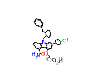 NC(=O)c1cccc2c1c1c(OCC(=O)O)cc(-c3ccc(Cl)cc3)cc1n2Cc1ccccc1Cc1ccccc1